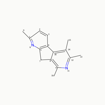 Cc1ccc2c(n1)Cc1c(C)nc(C)c(C)c1-2